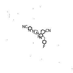 N#Cc1ccc(N2CCN(c3nnc(Cc4ccc(F)cc4)c4cc(C#N)ccc34)CC2)nc1